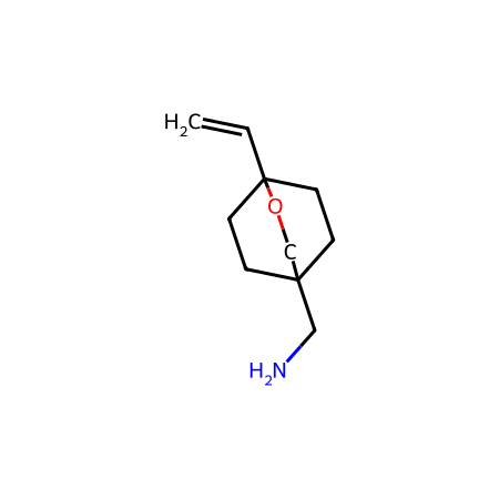 C=CC12CCC(CN)(CC1)CO2